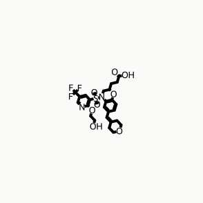 O=C(O)CCC1CN(S(=O)(=O)c2cc(C(F)(F)F)cnc2OCCO)c2cc(C=C3CCOCC3)ccc2O1